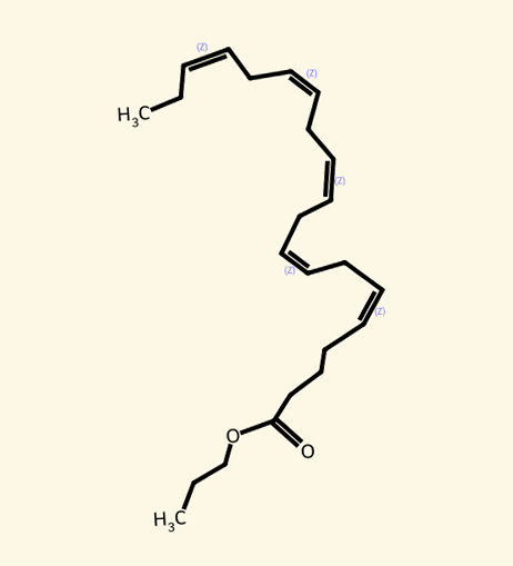 CC/C=C\C/C=C\C/C=C\C/C=C\C/C=C\CCCC(=O)OCCC